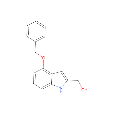 OCc1cc2c(OCc3ccccc3)cccc2[nH]1